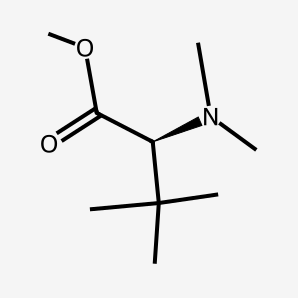 COC(=O)[C@@H](N(C)C)C(C)(C)C